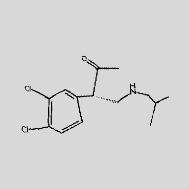 CC(=O)[C@H](CNC(C)C)c1ccc(Cl)c(Cl)c1